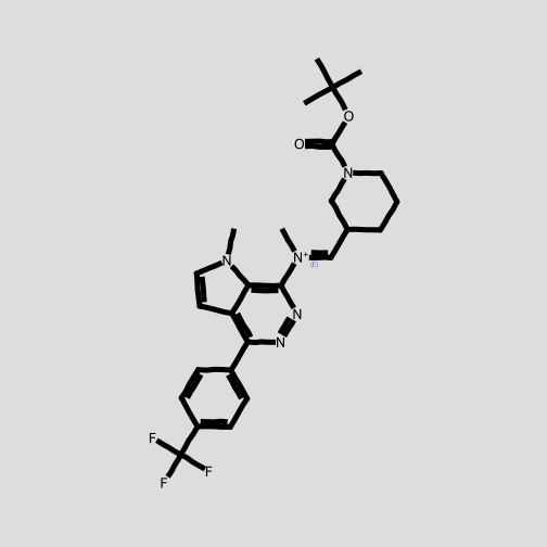 Cn1ccc2c(-c3ccc(C(F)(F)F)cc3)nnc(/[N+](C)=C/C3CCCN(C(=O)OC(C)(C)C)C3)c21